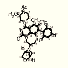 CC(=O)N1C[C@H](C)N(c2nc(=O)n3c4c(c(-c5c(F)cc(F)cc5F)c(C(F)(F)F)cc24)SCC(N2C[C@@H]4C[C@H]2CO4)C3)C[C@H]1C